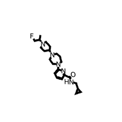 CC(CF)N1CCC(N2CCCN(c3cccc(C(=O)NCC4CC4)n3)CC2)CC1